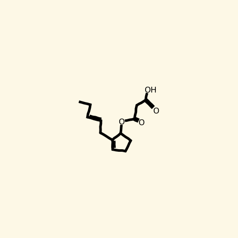 CCC=CCC1=CCCC1OC(=O)CC(=O)O